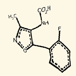 Cc1noc(-c2ccccc2F)c1NC(=O)O